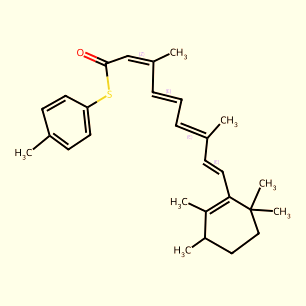 CC1=C(/C=C/C(C)=C/C=C/C(C)=C\C(=O)Sc2ccc(C)cc2)C(C)(C)CCC1C